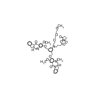 COCCOCCOCCN(CCCC(=O)ON1C(=O)CCC1=O)c1cc(COc2cc3c(cc2OC)C(=O)C2c4ccccc4C[C@H]2C=N3)cc(COc2cc3c(cc2OC)C(=O)N2c4ccccc4C[C@H]2CN3C)c1